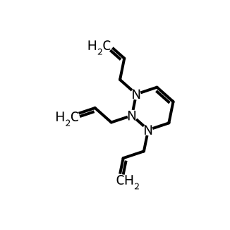 C=CCN1C=CCN(CC=C)N1CC=C